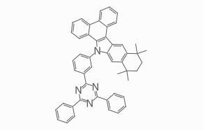 CC1(C)CCC(C)(C)c2cc3c(cc21)c1c2ccccc2c2ccccc2c1n3-c1cccc(-c2nc(-c3ccccc3)nc(-c3ccccc3)n2)c1